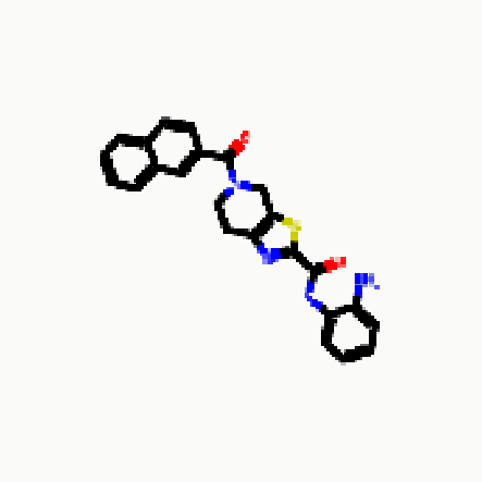 Nc1ccccc1NC(=O)c1nc2c(s1)CN(C(=O)c1ccc3ccccc3c1)CC2